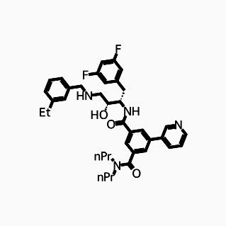 CCCN(CCC)C(=O)c1cc(C(=O)N[C@@H](Cc2cc(F)cc(F)c2)[C@H](O)CNCc2cccc(CC)c2)cc(-c2cccnc2)c1